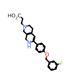 O=C(O)CCN1CCC2=C(CNC(c3ccc(OCc4cccc(F)c4)cc3)=C2)C1